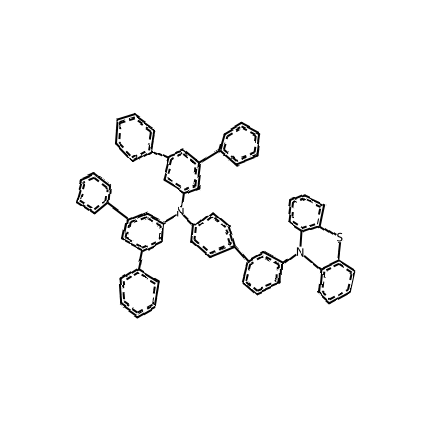 c1ccc(-c2cc(-c3ccccc3)cc(N(c3ccc(-c4cccc(N5c6ccccc6Sc6ccccc65)c4)cc3)c3cc(-c4ccccc4)cc(-c4ccccc4)c3)c2)cc1